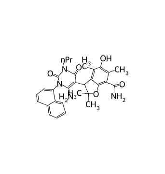 CCCn1c(=O)c(C2c3c(C)c(O)c(C)c(C(N)=O)c3OC2(C)C)c(N)n(-c2cccc3ccccc23)c1=O